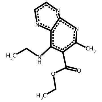 CCNc1c(C(=O)OCC)c(C)nc2nccnc12